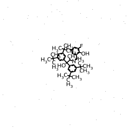 CC(N=Cc1cc(F)cc(F)c1O)C(O)(c1cc(C(C)(C)C)cc(C(C)(C)C)c1)c1cc(C(C)(C)C)cc(C(C)(C)C)c1